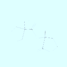 CCC(C)(CC)C(=O)OC1(C)CCOC1=O